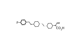 C=CC(C(=O)O)[C@H]1CC[C@H](CC[C@H]2CC[C@H](CCc3ccc(F)cc3)CC2)CC1